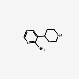 Nc1ncccc1C1CCNCC1